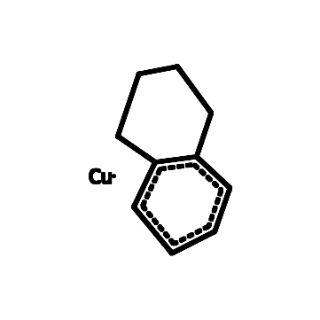 [Cu].c1ccc2c(c1)CCCC2